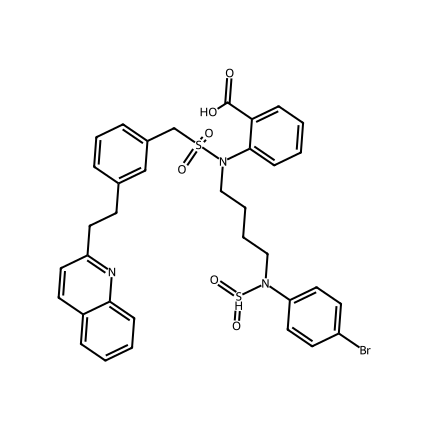 O=C(O)c1ccccc1N(CCCCN(c1ccc(Br)cc1)[SH](=O)=O)S(=O)(=O)Cc1cccc(CCc2ccc3ccccc3n2)c1